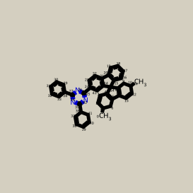 CC1C=CC2=C(C1)C1=C(CC(C)C=C1)C21c2ccccc2-c2ccc(-c3nc(-c4ccccc4)nc(C4C=CC=CC4)n3)cc21